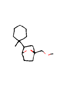 COCC12CCC(O1)C(C1(C)CCCCC1)C2